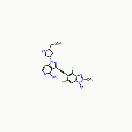 CCn1c(C)nc2c(F)c(C#Cc3nn([C@@H]4CN[C@@H](COC)C4)c4ccnc(N)c34)c(F)cc21